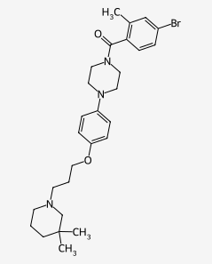 Cc1cc(Br)ccc1C(=O)N1CCN(c2ccc(OCCCN3CCCC(C)(C)C3)cc2)CC1